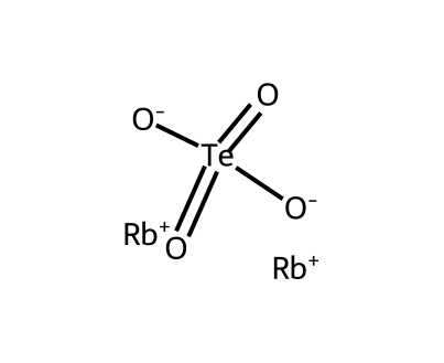 O=[Te](=O)([O-])[O-].[Rb+].[Rb+]